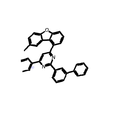 C=C/C(=C\C)c1cc(-c2cccc3oc4ccc(C)cc4c23)nc(-c2cccc(-c3ccccc3)c2)n1